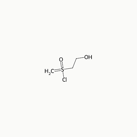 C=S(=O)(Cl)CCO